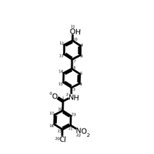 O=C(Nc1ccc(-c2ccc(O)cc2)cc1)c1[c]cc(Cl)c([N+](=O)[O-])c1